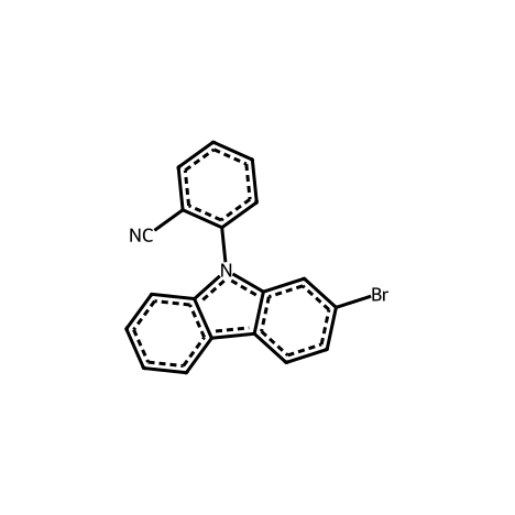 N#Cc1ccccc1-n1c2ccccc2c2ccc(Br)cc21